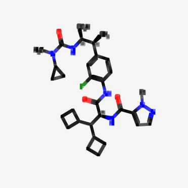 CCn1nccc1C(=O)N[C@H](C(=O)Nc1ccc([C@H](C)[C@@H](NC(=O)N(C)C2CC2)C(=O)O)cc1F)C(C1CCC1)C1CCC1